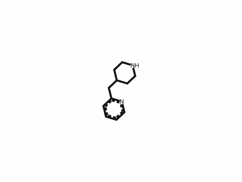 c1ccc(CC2CCNCC2)nc1